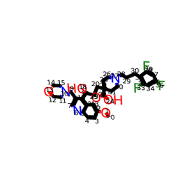 COc1ccc2ncc(CN3CCOCC3)c([C@@H](O)CCC3(C(=O)O)CCN(CCCc4c(F)cc(F)cc4F)CC3)c2c1